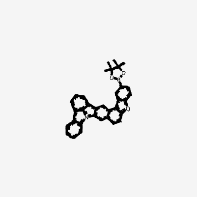 CC1(C)OB(c2ccc3oc4ccc5cc6c(cc5c4c3c2)c2cccc3c4ccccc4n6c32)OC1(C)C